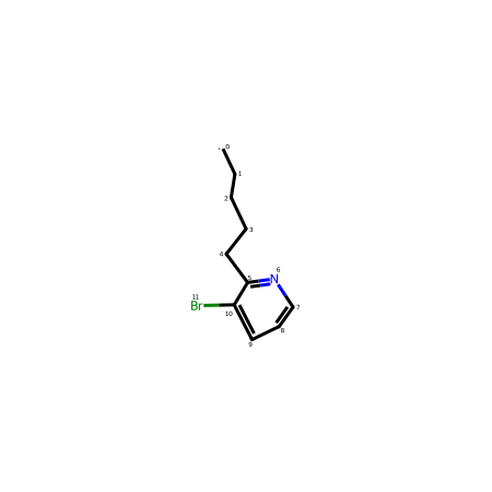 [CH2]CCCCc1ncccc1Br